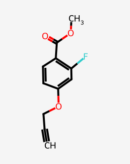 C#CCOc1ccc(C(=O)OC)c(F)c1